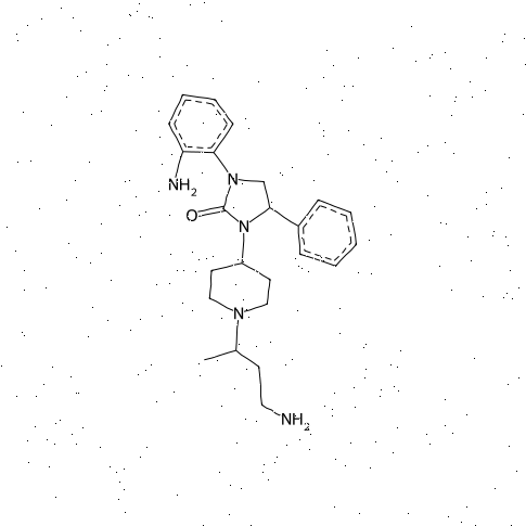 CC(CCN)N1CCC(N2C(=O)N(c3ccccc3N)CC2c2ccccc2)CC1